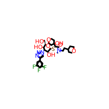 CN(CCC1CCOCC1)C(=O)[C@@H](S[C@@H]1O[C@H](CO)[C@H](O)[C@H](n2cc(-c3cc(F)c(F)c(F)c3)nn2)[C@H]1O)C1(O)CCOCC1